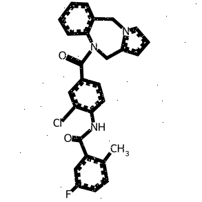 Cc1ccc(F)cc1C(=O)Nc1ccc(C(=O)N2Cc3cccn3Cc3ccccc32)cc1Cl